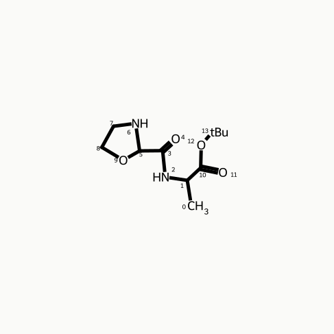 CC(NC(=O)C1NCCO1)C(=O)OC(C)(C)C